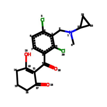 CN(Cc1c(Cl)ccc(C(=O)C2=C(O)CCCC2=O)c1Cl)C1CC1